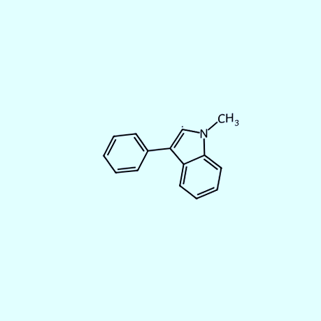 Cn1[c]c(-c2ccccc2)c2ccccc21